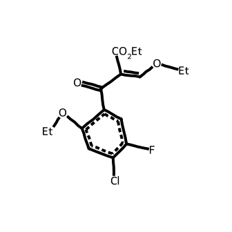 CCOC=C(C(=O)OCC)C(=O)c1cc(F)c(Cl)cc1OCC